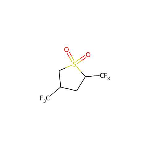 O=S1(=O)CC(C(F)(F)F)CC1C(F)(F)F